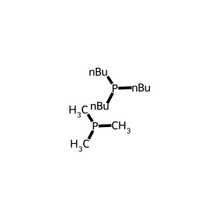 CCCCP(CCCC)CCCC.CP(C)C